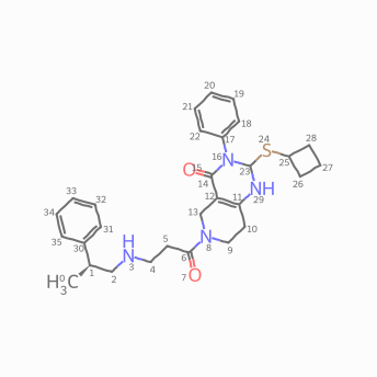 C[C@H](CNCCC(=O)N1CCC2=C(C1)C(=O)N(c1ccccc1)C(SC1CCC1)N2)c1ccccc1